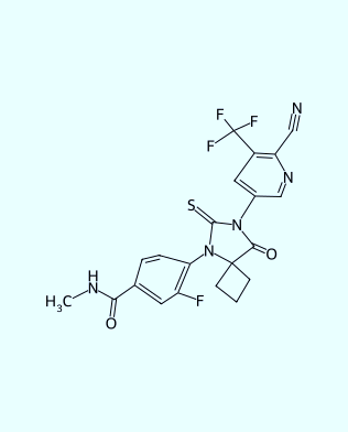 CNC(=O)c1ccc(N2C(=S)N(c3cnc(C#N)c(C(F)(F)F)c3)C(=O)C23CCC3)c(F)c1